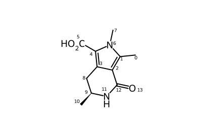 Cc1c2c(c(C(=O)O)n1C)C[C@H](C)NC2=O